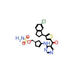 NS(=O)(=O)OC[C@@H]1CC=C(Nc2ncncc2C(=O)c2cc(C3CCc4ccc(Cl)cc43)cs2)C1